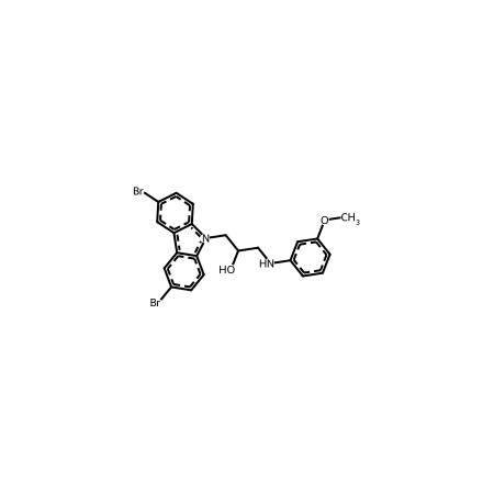 COc1cccc(NCC(O)Cn2c3ccc(Br)cc3c3cc(Br)ccc32)c1